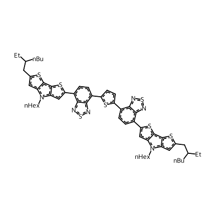 CCCCCCn1c2cc(CC(CC)CCCC)sc2c2sc(-c3ccc(-c4ccc(-c5ccc(-c6cc7c(s6)c6sc(CC(CC)CCCC)cc6n7CCCCCC)c6nsnc56)s4)c4nsnc34)cc21